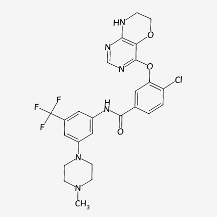 CN1CCN(c2cc(NC(=O)c3ccc(Cl)c(Oc4ncnc5c4OCCN5)c3)cc(C(F)(F)F)c2)CC1